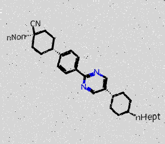 CCCCCCCCC[C@]1(C#N)CC[C@H](c2ccc(-c3ncc([C@H]4CC[C@H](CCCCCCC)CC4)cn3)cc2)CC1